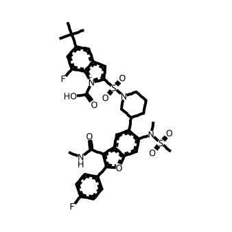 CNC(=O)c1c(-c2ccc(F)cc2)oc2cc(N(C)S(C)(=O)=O)c(C3CCCN(S(=O)(=O)c4cc5cc(C(C)(C)C)cc(F)c5n4C(=O)O)C3)cc12